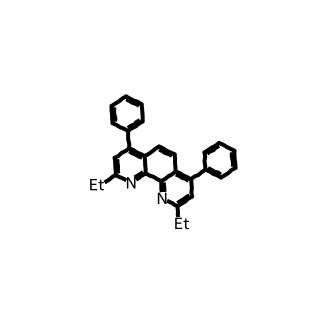 CCc1cc(-c2ccccc2)c2ccc3c(-c4ccccc4)cc(CC)nc3c2n1